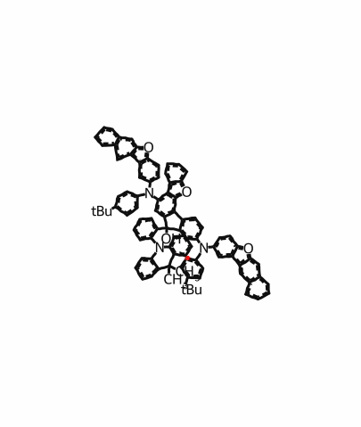 CC(C)(C)c1ccc(N(c2ccc3c(c2)C(O)(c2ccccc2N2c4ccccc4C(C)(C)c4ccccc42)c2cc(N(c4ccc(C(C)(C)C)cc4)c4ccc5oc6cc7ccccc7cc6c5c4)c4c(oc5ccccc54)c2-3)c2ccc3oc4cc5ccccc5cc4c3c2)cc1